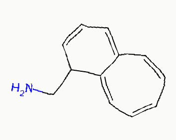 NCC1C=CC=C2C=CC=CC=C21